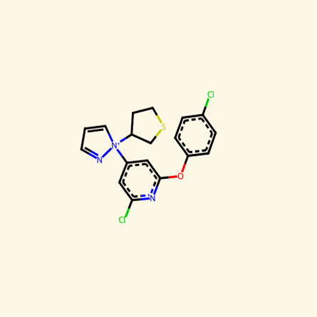 Clc1ccc(Oc2cc([N+]3(C4CCSC4)C=CC=N3)cc(Cl)n2)cc1